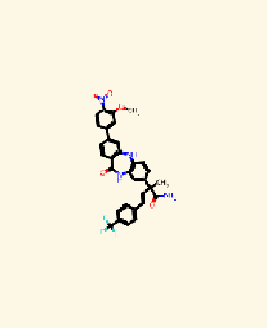 COc1cc(-c2ccc3c(c2)Nc2ccc(C(C)(CCc4ccc(C(F)(F)F)cc4)C(N)=O)cc2NC3=O)ccc1[N+](=O)[O-]